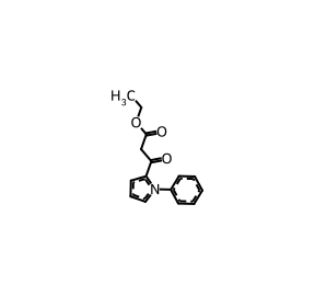 CCOC(=O)CC(=O)c1cccn1-c1ccccc1